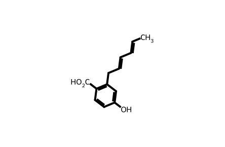 CC=CC=CCc1cc(O)ccc1C(=O)O